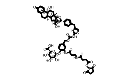 C[C@]12C=CC(=O)C=C1CC[C@@H]1[C@@H]2[C@@H](O)C[C@@]2(C)[C@H]1C[C@H]1O[C@@H](c3ccc(Cc4csc(NC(=O)OCc5ccc(O[C@@H]6O[C@H](C(=O)O)[C@@H](O)[C@H](O)[C@H]6O)c(NC(=O)CCNC(=O)CCC(=O)ON6C(=O)CCC6=O)c5)n4)cc3)O[C@]12C(=O)CO